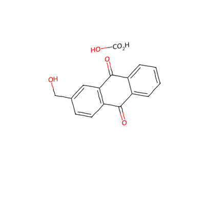 O=C(O)O.O=C1c2ccccc2C(=O)c2cc(CO)ccc21